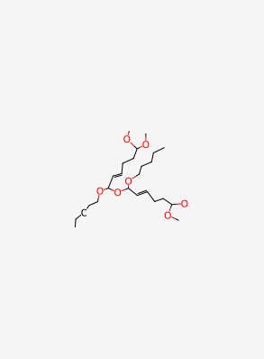 CCCCCOC(C=CCCC(OC)OC)OC(C=CCCC(OC)OC)OCCCCC